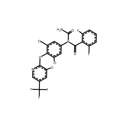 NC(=O)N(C(=O)c1c(F)cccc1F)c1cc(Cl)c(Oc2ncc(C(F)(F)F)cc2Cl)c(Cl)c1